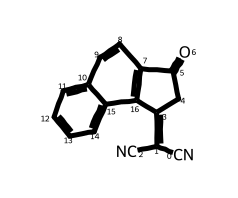 N#CC(C#N)=C1CC(=O)c2ccc3ccccc3c21